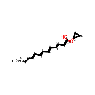 CCCCCCCCCCCCC=CC=CC=CC=CC=C(O)OC1CC1